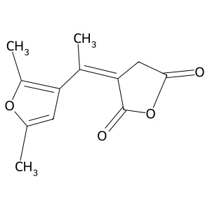 CC(=C1CC(=O)OC1=O)c1cc(C)oc1C